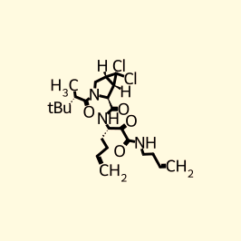 C=CCCNC(=O)C(=O)[C@H](CCC=C)NC(=O)[C@@H]1[C@@H]2[C@H](CN1C(=O)[C@@H](C)C(C)(C)C)C2(Cl)Cl